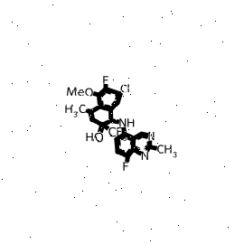 COc1c(F)c(Cl)cc2c1C(C)CC(O)(C(F)(F)F)C2Nc1ccc(F)c2nc(C)ncc12